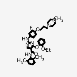 CCOc1ccccc1Oc1nc(Nc2ccc(OCCCN3CCN(C)CC3)c(F)c2)ncc1C(=O)Nc1c(C)cccc1C